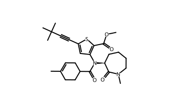 COC(=O)c1sc(C#CC(C)(C)C)cc1N(C(=O)C1CC=C(C)CC1)[C@H]1CCCCN(C)C1=O